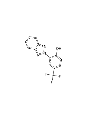 Oc1ccc(C(F)(F)F)cc1-n1nc2ccccc2n1